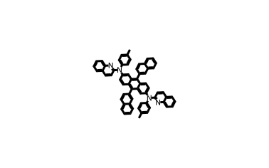 Cc1ccc(N(c2ccc3c(-c4ccc5ccccc5c4)c4cc(N(c5ccc(C)cc5)c5ccc6ccccc6n5)ccc4c(-c4ccc5ccccc5c4)c3c2)c2ccc3ccccc3n2)cc1